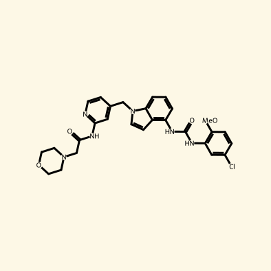 COc1ccc(Cl)cc1NC(=O)Nc1cccc2c1ccn2Cc1ccnc(NC(=O)CN2CCOCC2)c1